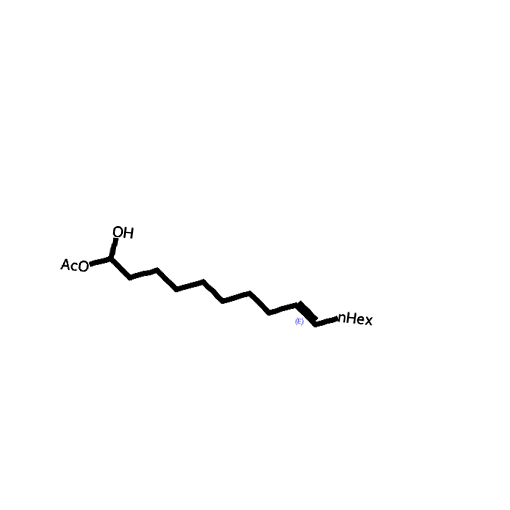 CCCCCC/C=C/CCCCCCCC(O)OC(C)=O